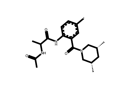 CC(=O)NC(C)C(=O)Nc1ccc(I)cc1C(=O)N1C[C@H](C)C[C@H](C)C1